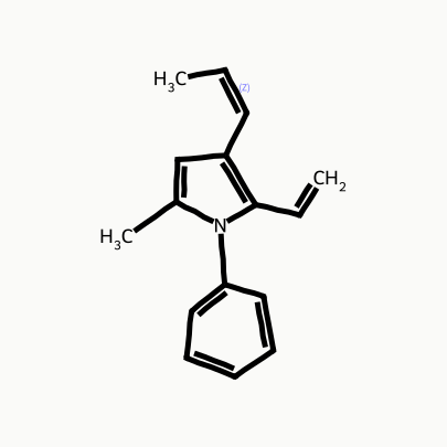 C=Cc1c(/C=C\C)cc(C)n1-c1ccccc1